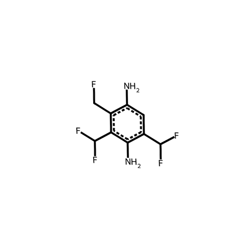 Nc1cc(C(F)F)c(N)c(C(F)F)c1CF